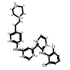 Clc1cccc(Cl)c1Nc1nccnc1-c1cc(Nc2ccc(CCN3CCOCC3)cn2)ncn1